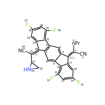 CCC/C(C#N)=C1\c2cc3c(cc2-c2c(F)cc(F)cc21)/C(=C(/C#N)C1CN1)c1cc(F)cc(F)c1-3